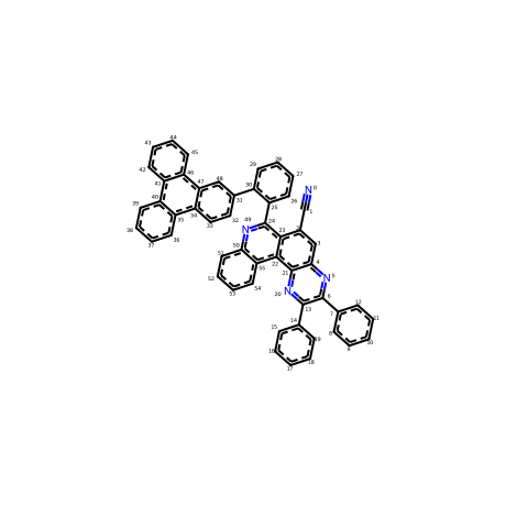 N#Cc1cc2nc(-c3ccccc3)c(-c3ccccc3)nc2c2c1c(-c1ccccc1-c1ccc3c4ccccc4c4ccccc4c3c1)nc1ccccc12